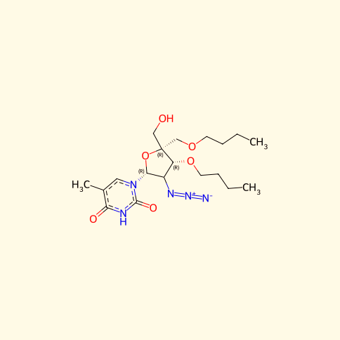 CCCCOC[C@@]1(CO)O[C@@H](n2cc(C)c(=O)[nH]c2=O)C(N=[N+]=[N-])[C@H]1OCCCC